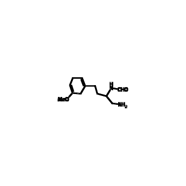 COC1=CCC=C(CCC(CN)NC=O)C1